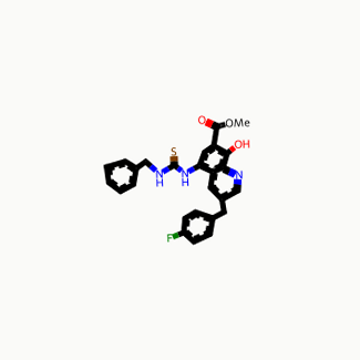 COC(=O)c1cc(NC(=S)NCc2ccccc2)c2cc(Cc3ccc(F)cc3)cnc2c1O